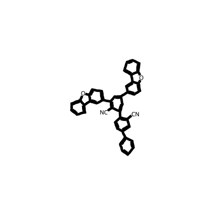 N#Cc1cc(-c2ccccc2)ccc1-c1cc(-c2ccc3oc4ccccc4c3c2)cc(-c2ccc3oc4ccccc4c3c2)c1C#N